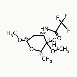 CO[C@H]1C[C@H](NC(=O)C(F)(F)F)[C@](C)(OC)[C@H](C)O1